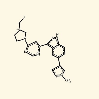 Cn1cc(-c2ccc3[nH]nc(-c4cc(N5CC[C@@H](CF)C5)ncn4)c3c2)cn1